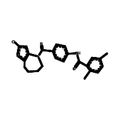 Cc1ccc(C)c(C(=O)Nc2ccc(C(=O)N3CCCCc4sc(Cl)cc43)cc2)c1